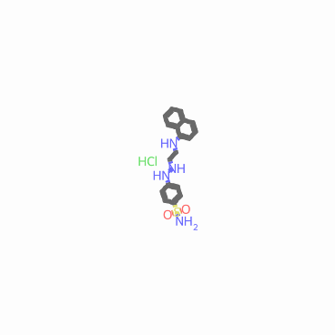 Cl.NS(=O)(=O)c1ccc(NNCCNc2cccc3ccccc23)cc1